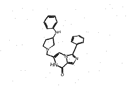 O=c1[nH]c(CN2CCC(Nc3ccccc3)C2)cn2c(-c3ccccc3)ncc12